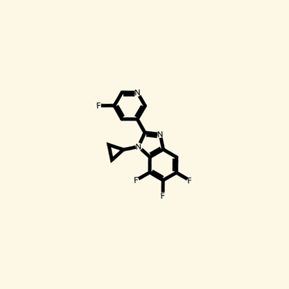 Fc1cncc(-c2nc3cc(F)c(F)c(F)c3n2C2CC2)c1